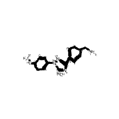 Cl.NCc1ccc(-c2ncn(-c3ccc(OC(F)(F)F)cc3)n2)cc1